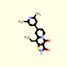 CCc1c2s[nH]c(=O)c2c(=O)n2ccc(-c3cc(C)nc(C)c3)cc12